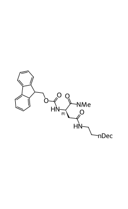 CCCCCCCCCCCCNC(=O)C[C@@H](NC(=O)OCC1c2ccccc2-c2ccccc21)C(=O)NC